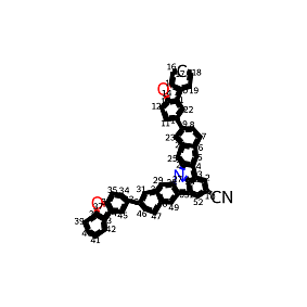 N#Cc1cc2c3cc4ccc(-c5ccc6oc7ccccc7c6c5)cc4cc3n3c4cc5cc(-c6ccc7oc8ccccc8c7c6)ccc5cc4c(c1)c23